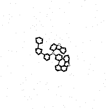 c1ccc(-c2cccc(-c3cccc(N(c4cccc(-c5cccc6ccc7sc8ccccc8c7c56)c4)c4cccc5oc6ccccc6c45)c3)c2)cc1